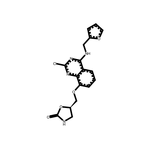 O=C1NC[C@H](COc2cccc3c(NCc4ccco4)nc(Cl)nc23)O1